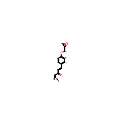 C=CC(=O)C=Cc1ccc(OCC2CO2)cc1